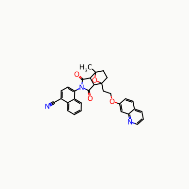 CC12CCC(CCOc3ccc4cccnc4c3)(O1)C1C(=O)N(c3ccc(C#N)c4ccccc34)C(=O)C12